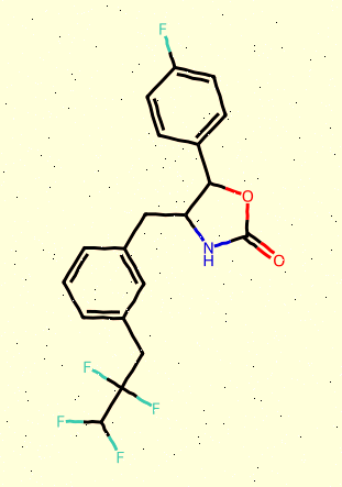 O=C1NC(Cc2cccc(CC(F)(F)C(F)F)c2)C(c2ccc(F)cc2)O1